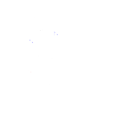 Cn1cc(-c2cccc(F)c2)c(=O)n(C)c1=O